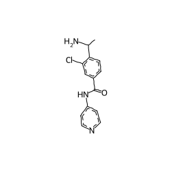 CC(N)c1ccc(C(=O)Nc2ccncc2)cc1Cl